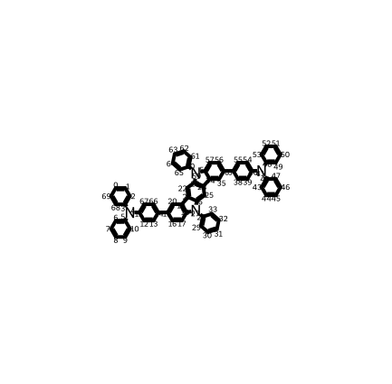 c1ccc(N(c2ccccc2)c2ccc(-c3ccc4c(c3)c3cc5c(cc3n4-c3ccccc3)c3cc(-c4ccc(N(c6ccccc6)c6ccccc6)cc4)ccc3n5-c3ccccc3)cc2)cc1